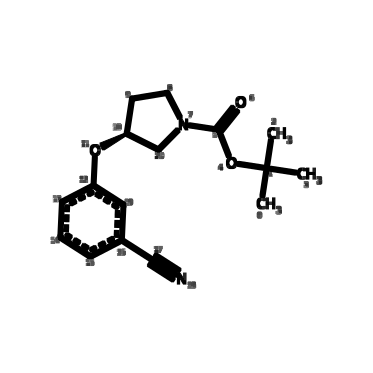 CC(C)(C)OC(=O)N1CC[C@H](Oc2cccc(C#N)c2)C1